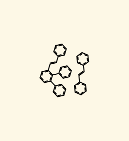 C(=Cc1cccc(-c2ccccc2)c1-c1ccccc1)c1ccccc1.C(=Cc1ccccc1)c1ccccc1